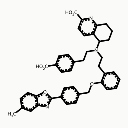 Cc1ccc2oc(-c3ccc(COc4ccccc4CCN(CCc4ccc(C(=O)O)cc4)C4CCCc5nc(C(=O)O)ccc54)cc3)nc2c1